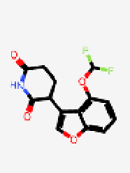 O=C1CCC(c2coc3cccc(OC(F)F)c23)C(=O)N1